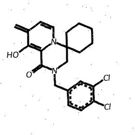 C=C1C=CN2C(=C1O)C(=O)N(Cc1ccc(Cl)c(Cl)c1)CC21CCCCC1